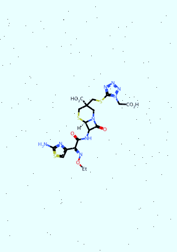 CCON=C(C(=O)NC1C(=O)N2CC(CSc3nnnn3CC(=O)O)(C(=O)O)CS[C@H]12)c1csc(N)n1